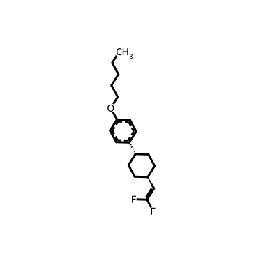 CCCCCOc1ccc([C@H]2CC[C@H](C=C(F)F)CC2)cc1